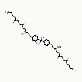 C=CCOC(=O)CCC(=O)OC[C@@H](O)COc1ccc(C(C)(C)c2ccc(OC[C@@H](O)COC(=O)CCC(=O)OCC=C)cc2)cc1